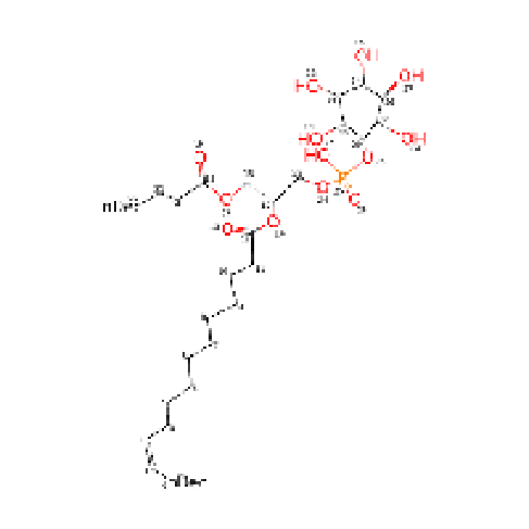 CCCCCCCCCC/C=C\CCCCCCCCCC(=O)O[C@H](COC(=O)CCCCCCCCCCCC)COP(=O)(O)OC1C(O)C(O)C(O)[C@@H](O)C1O